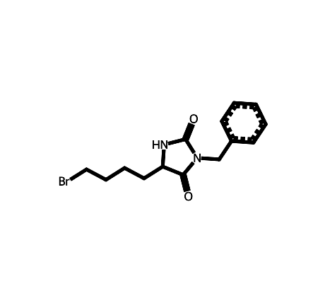 O=C1NC(CCCCBr)C(=O)N1Cc1ccccc1